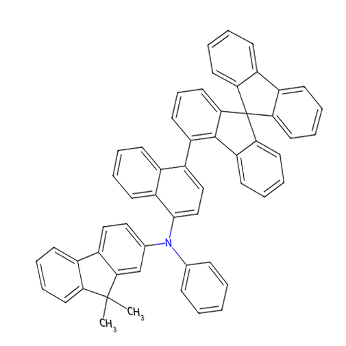 CC1(C)c2ccccc2-c2ccc(N(c3ccccc3)c3ccc(-c4cccc5c4-c4ccccc4C54c5ccccc5-c5ccccc54)c4ccccc34)cc21